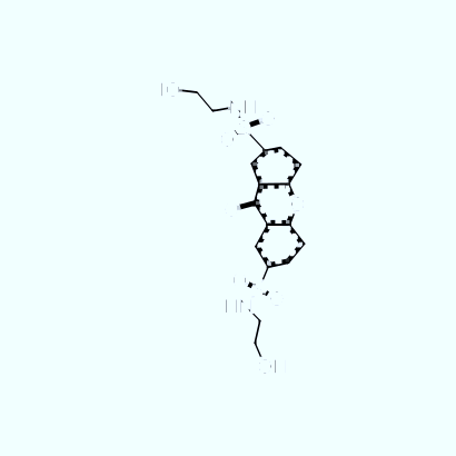 O=c1c2cc(S(=O)(=O)NCCO)ccc2oc2ccc(S(=O)(=O)NCCO)cc12